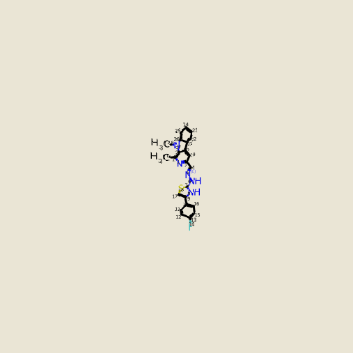 Cc1nc(/C=N/NC2NC(c3ccc(F)cc3)=CS2)cc2c3ccccc3n(C)c12